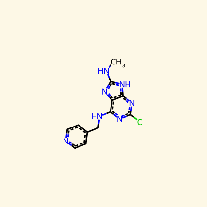 CNc1nc2c(NCc3ccncc3)nc(Cl)nc2[nH]1